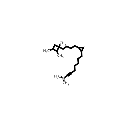 CC1CC(C)(CCCCC2CC2CCCCCC#CN(C)C)C1C